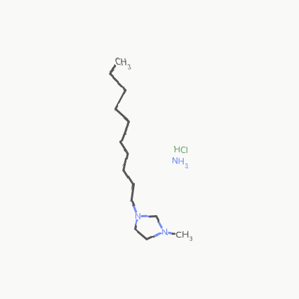 CCCCCCCCCCN1CCN(C)C1.Cl.N